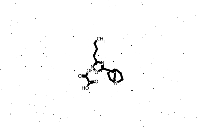 CCCCc1noc(C2CN3CCC2CC3)n1.O=C(O)C(=O)O